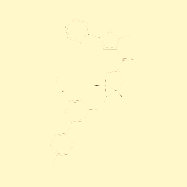 Cc1nn(-c2ncccn2)c(F)c1C(=O)N1C[C@@H]2C(Oc3cc(C(C)(C)NC(=O)O)cc(-c4ccc(F)cc4)n3)[C@@H]2C1